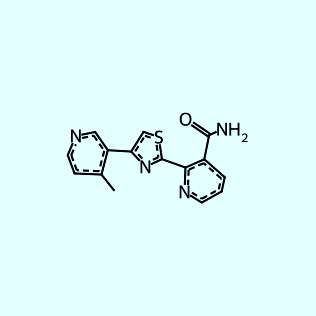 Cc1ccncc1-c1csc(-c2ncccc2C(N)=O)n1